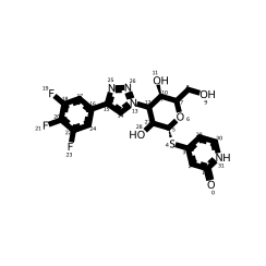 O=c1cc(S[C@H]2OC(CO)[C@H](O)C(n3cc(-c4cc(F)c(F)c(F)c4)nn3)C2O)cc[nH]1